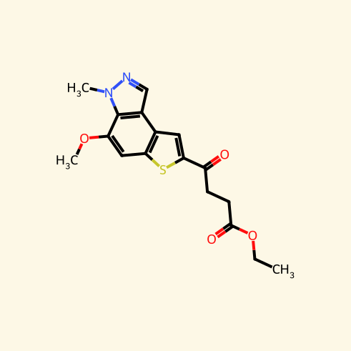 CCOC(=O)CCC(=O)c1cc2c(cc(OC)c3c2cnn3C)s1